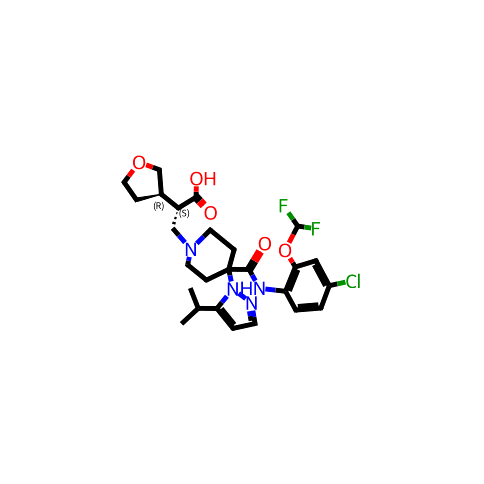 CC(C)c1ccnn1C1(C(=O)Nc2ccc(Cl)cc2OC(F)F)CCN(C[C@@H](C(=O)O)[C@H]2CCOC2)CC1